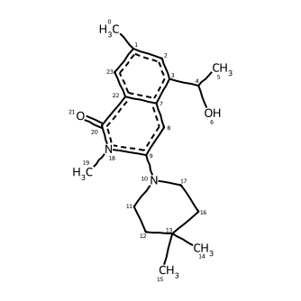 Cc1cc(C(C)O)c2cc(N3CCC(C)(C)CC3)n(C)c(=O)c2c1